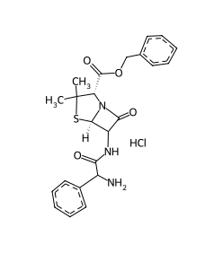 CC1(C)S[C@@H]2C(NC(=O)C(N)c3ccccc3)C(=O)N2[C@H]1C(=O)OCc1ccccc1.Cl